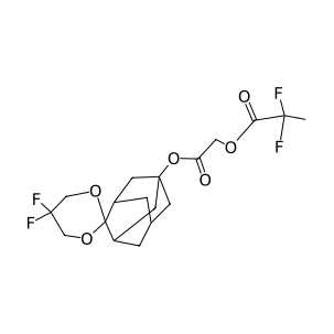 CC(F)(F)C(=O)OCC(=O)OC12CC3CC(C1)C1(OCC(F)(F)CO1)C(C3)C2